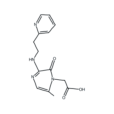 Cc1cnc(NCCc2ccccn2)c(=O)n1CC(=O)O